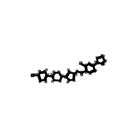 Fc1cc(-n2cnnn2)ncc1OCc1csc(C2CCN(c3ncc(Cl)cn3)CC2)n1